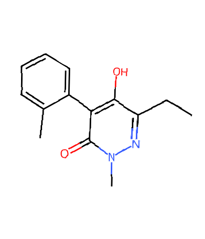 CCc1nn(C)c(=O)c(-c2ccccc2C)c1O